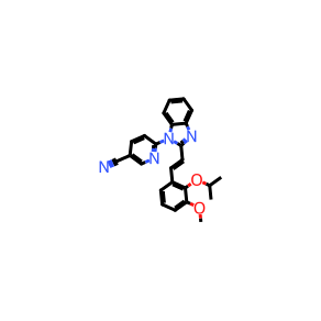 COc1cccc(C=Cc2nc3ccccc3n2-c2ccc(C#N)cn2)c1OC(C)C